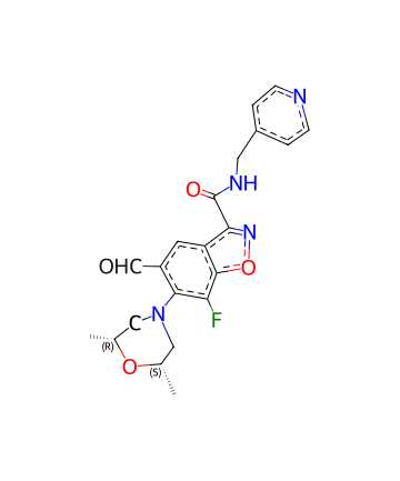 C[C@@H]1CN(c2c(C=O)cc3c(C(=O)NCc4ccncc4)noc3c2F)C[C@H](C)O1